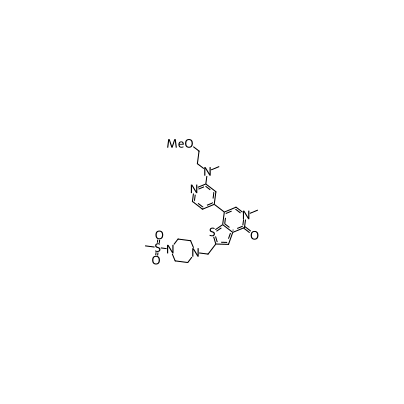 COCCN(C)c1cc(-c2cn(C)c(=O)c3cc(CN4CCN(S(C)(=O)=O)CC4)sc23)ccn1